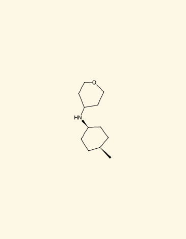 C[C@H]1CC[C@@H](NC2CCOCC2)CC1